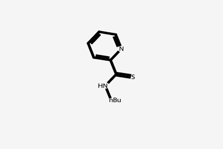 CCCCNC(=S)c1ccccn1